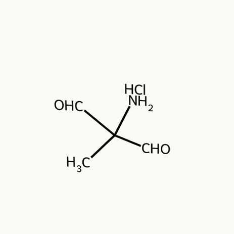 CC(N)(C=O)C=O.Cl